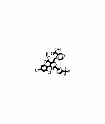 CCOC(=O)C1=C(CN2CCOCC2C(=O)O)NC(c2nc(C(F)(F)F)cs2)=NC1c1ccc(Cl)cc1Cl